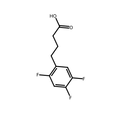 O=C(O)CCCc1cc(F)c(F)cc1F